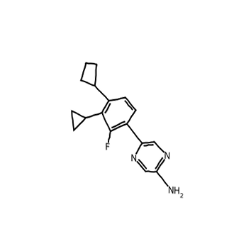 Nc1cnc(-c2ccc(C3CCC3)c(C3CC3)c2F)cn1